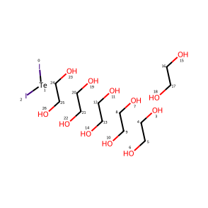 I[Te]I.OCCO.OCCO.OCCO.OCCO.OCCO.OCCO